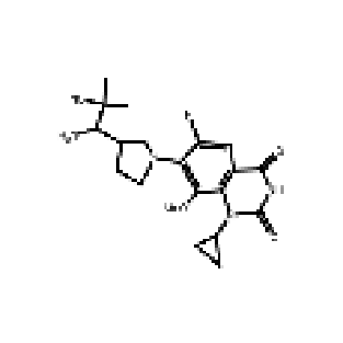 COc1c(N2CCC(C(N)C(C)(C)C#N)C2)c(F)cc2c(=O)[nH]c(=O)n(C3CC3)c12